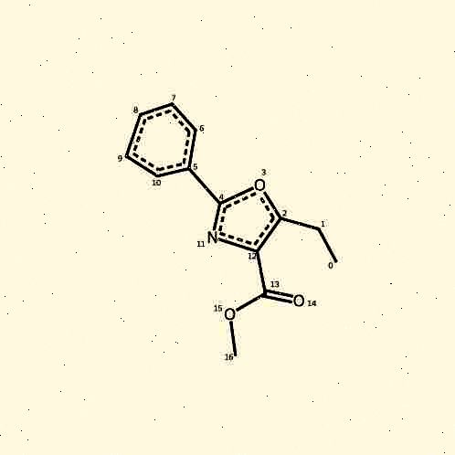 CCc1oc(-c2ccccc2)nc1C(=O)OC